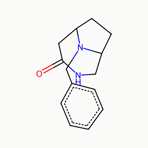 O=C1CC2CCC(CN1)N2Cc1ccccc1